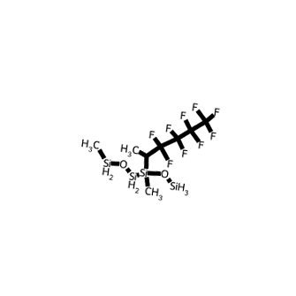 C[SiH2]O[SiH2][Si](C)(O[SiH3])C(C)C(F)(F)C(F)(F)C(F)(F)C(F)(F)F